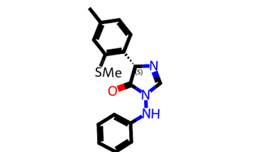 CSc1cc(C)ccc1[C@@H]1N=CN(Nc2ccccc2)C1=O